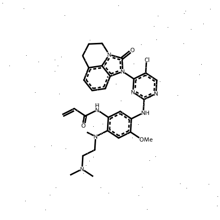 C=CC(=O)Nc1cc(Nc2ncc(Cl)c(-n3c(=O)n4c5c(cccc53)CCC4)n2)c(OC)cc1N(C)CCN(C)C